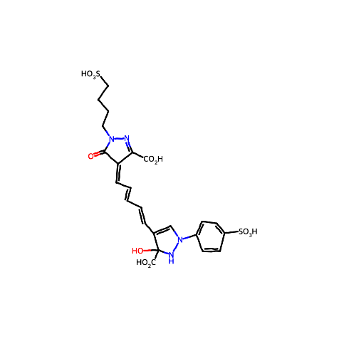 O=C(O)C1=NN(CCCCS(=O)(=O)O)C(=O)C1=CC=CC=CC1=CN(c2ccc(S(=O)(=O)O)cc2)NC1(O)C(=O)O